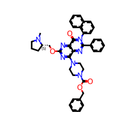 CN1CCC[C@H]1COc1nc(N2CCN(C(=O)OCc3ccccc3)CC2)c2nc(-c3ccccc3)n(-c3cccc4ccccc34)c(=O)c2n1